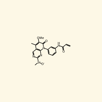 C=CC(=O)Nc1cccc(-n2c(=O)c(OC)c(C)c3cnc([S+](C)[O-])nc32)c1